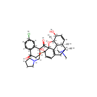 CN1CC[C@]23C4=C5C=CC(O)(SCN6CCCC6)C4(C(=O)C4CCC(=O)c6ccc(Cl)cc64)O[C@H]2[C@@H](O)C=C[C@H]3[C@H]1C5